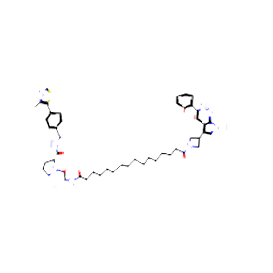 Cc1ncsc1-c1ccc(CNC(=O)[C@@H]2C[C@@H](O)CN2C(=O)[C@@H](NC(=O)CCCCCCCCCCCCCCC(=O)N2CC(c3c[nH]c4nnc(-c5ccccc5O)cc34)C2)C(C)(C)C)cc1